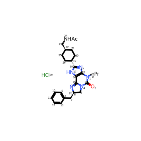 CCCN1C(=O)N2C[C@@H](Cc3ccccc3)N=C2c2[nH]c([C@H]3CC[C@H](CNC(C)=O)CC3)nc21.Cl